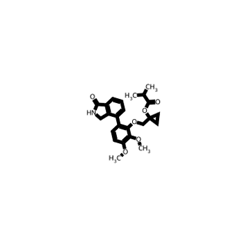 COc1ccc(-c2cccc3c2CNC3=O)c(OCC2(OC(=O)C(C)C)CC2)c1OC